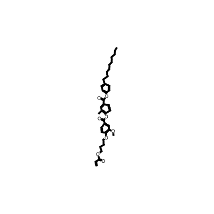 C=CC(=O)OCCCCOc1ccc(C(=O)Oc2ccc(C(=O)Oc3ccc(CCCCCCCCCC)cc3)cc2C)cc1OC